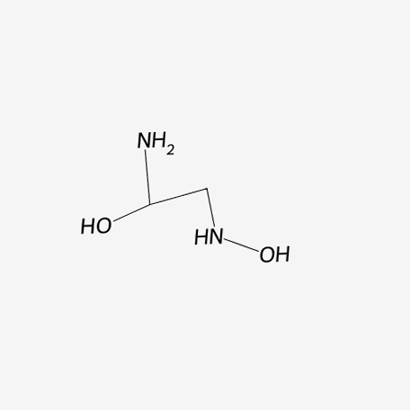 NC(O)CNO